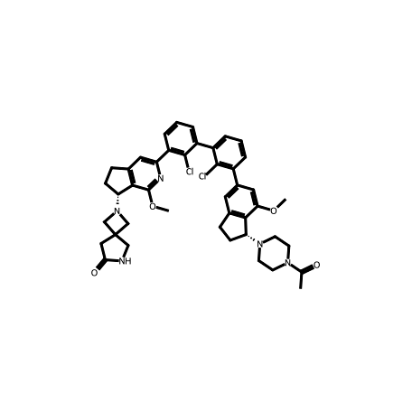 COc1cc(-c2cccc(-c3cccc(-c4cc5c(c(OC)n4)[C@H](N4CC6(CNC(=O)C6)C4)CC5)c3Cl)c2Cl)cc2c1[C@H](N1CCN(C(C)=O)CC1)CC2